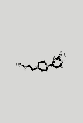 COCCN1CCN(c2ccnc([AsH2])n2)CC1